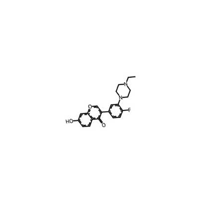 CCN1CCN(c2cc(-c3coc4cc(O)ccc4c3=O)ccc2F)CC1